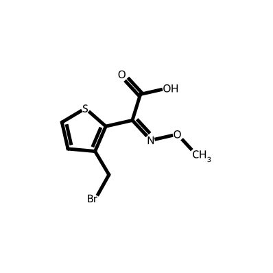 CON=C(C(=O)O)c1sccc1CBr